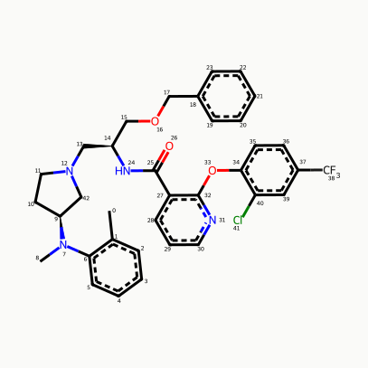 Cc1ccccc1N(C)[C@H]1CCN(C[C@@H](COCc2ccccc2)NC(=O)c2cccnc2Oc2ccc(C(F)(F)F)cc2Cl)C1